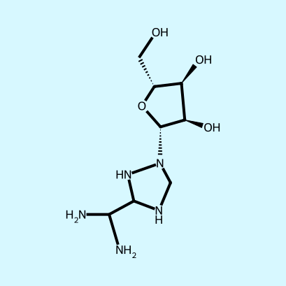 NC(N)C1NCN([C@@H]2O[C@H](CO)[C@@H](O)[C@H]2O)N1